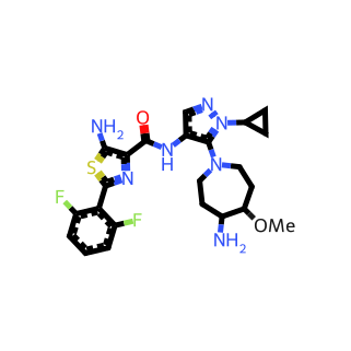 COC1CCN(c2c(NC(=O)c3nc(-c4c(F)cccc4F)sc3N)cnn2C2CC2)CCC1N